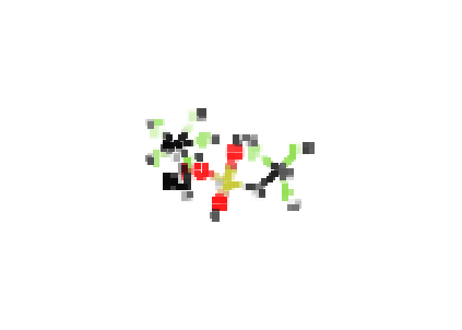 F[As](F)(F)(F)F.O=S(=O)(O)CC(F)(F)F.[LiH]